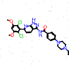 CCN1CCN(c2ccc(C(=O)Nc3n[nH]c4nc(-c5c(Cl)c(OC)cc(OC)c5Cl)ccc34)cc2)CC1